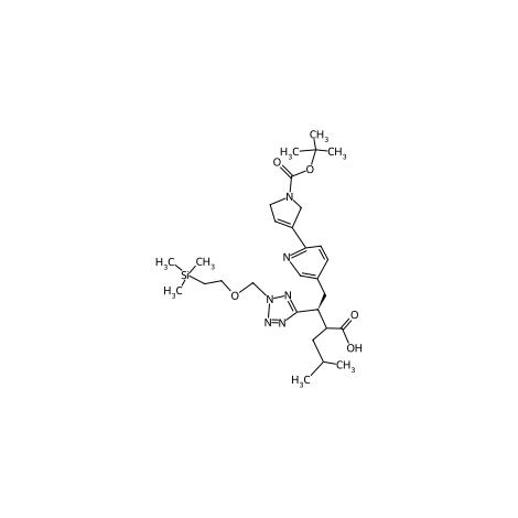 CC(C)CC(C(=O)O)[C@H](Cc1ccc(C2=CCN(C(=O)OC(C)(C)C)C2)nc1)c1nnn(COCC[Si](C)(C)C)n1